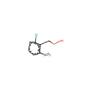 O=[N+]([O-])c1cccc(Cl)c1CSO